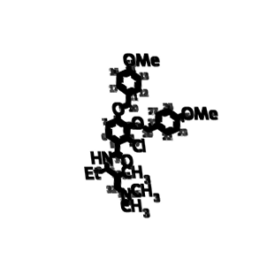 CC[C@@H](NC(=O)c1ccc(OCc2ccc(OC)cc2)c(OCc2ccc(OC)cc2)c1Cl)/C(C)=C/N(C)C